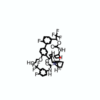 O=C(NC1CCC1)OC(c1ccc(F)c(-c2ccc(OCCO)c(C(=O)N[C@H]3[C@@H](C(=O)Nc4ccc(F)c(C(F)(F)F)c4)[C@H]4CC[C@@H]3/C4=C\C3CC3)c2)c1)C(F)(F)F